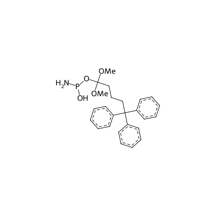 COC(CCCC(c1ccccc1)(c1ccccc1)c1ccccc1)(OC)OP(N)O